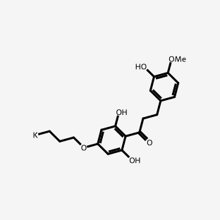 COc1ccc(CCC(=O)c2c(O)cc(OCC[CH2][K])cc2O)cc1O